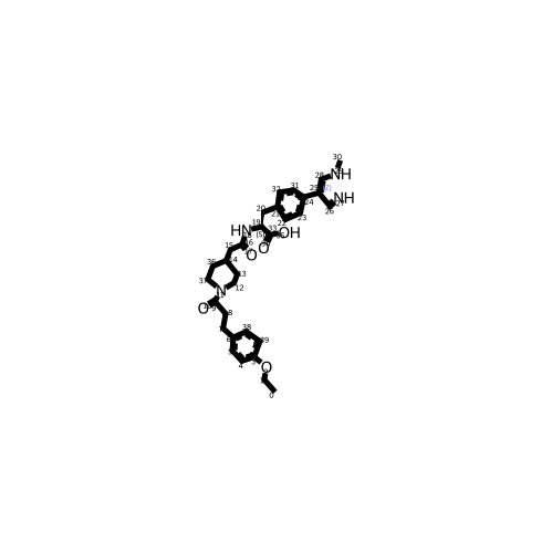 CCOc1ccc(CCC(=O)N2CCC(CC(=O)N[C@@H](Cc3ccc(/C(C=N)=C/NC)cc3)C(=O)O)CC2)cc1